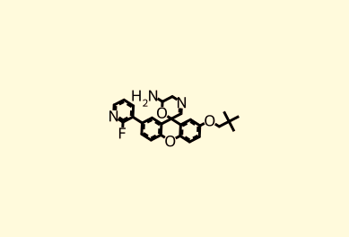 CC(C)(C)COc1ccc2c(c1)C1(C=NCC(N)O1)c1cc(-c3cccnc3F)ccc1O2